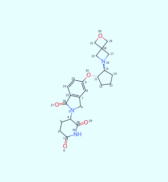 O=C1CCC(N2Cc3cc(O[C@H]4CCC[C@@H]4N4CC5(COC5)C4)ccc3C2=O)C(=O)N1